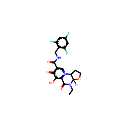 CCN1C(=O)c2c(O)c(=O)c(C(=O)NCc3c(F)cc(F)cc3F)cn2C2CCO[C@@H]21